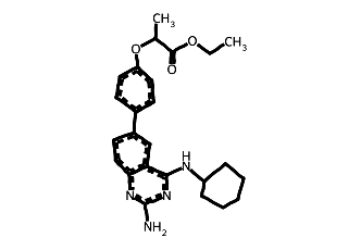 CCOC(=O)C(C)Oc1ccc(-c2ccc3nc(N)nc(NC4CCCCC4)c3c2)cc1